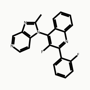 Cc1nc2cnccc2n1-c1c(F)c(-c2ccccc2F)nc2ccccc12